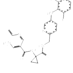 C=C/N=C\C(=C/N)C(=O)NC1(C(=O)NCc2ccc(Nc3c(F)cccc3Cl)cn2)CC1